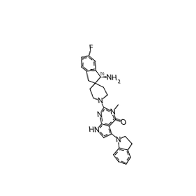 Cn1c(N2CCC3(CC2)Cc2ccc(F)cc2[C@H]3N)nc2[nH]cc(N3CCc4ccccc43)c2c1=O